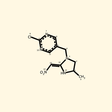 CC1CN(Cc2cnc(Cl)nc2)C(=C[N+](=O)[O-])N1